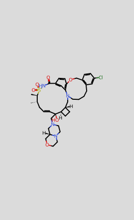 C[C@@H]1[C@@H](C)C/C=C/[C@@](O)(CN2CCN3CCOC[C@@H]3C2)[C@@H]2CC[C@H]2CN2CCCCc3cc(Cl)ccc3COc3ccc(cc32)C(=O)NS1(=O)=O